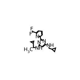 CC(Nc1cc(NCC2CC2)nc(-c2cccc(C(F)F)n2)n1)C1CC1